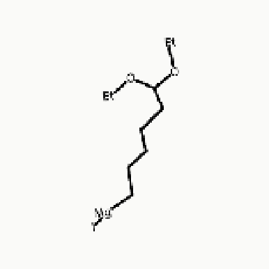 CCOC(CCCC[CH2][Mg][I])OCC